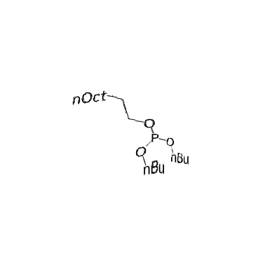 CCCCCCCCCCOP(OCCCC)OCCCC